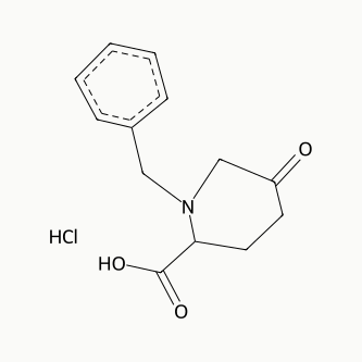 Cl.O=C1CCC(C(=O)O)N(Cc2ccccc2)C1